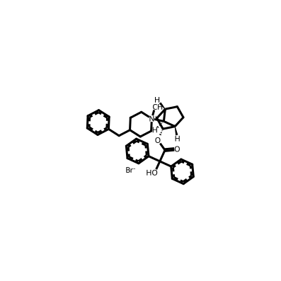 C[N+]1([C@H]2[C@H]3CC[C@@H]2[C@H](OC(=O)C(O)(c2ccccc2)c2ccccc2)C3)CCC(Cc2ccccc2)CC1.[Br-]